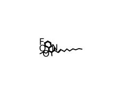 CCCCCCCC=Cc1nc2ccc(F)cc2c(OC(C)=O)c1C